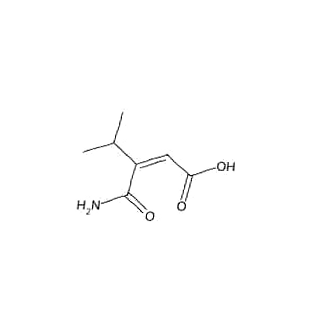 CC(C)/C(=C/C(=O)O)C(N)=O